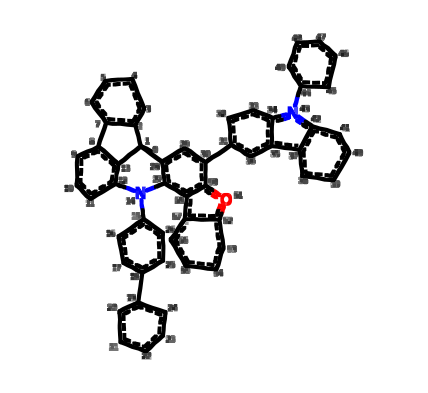 CC12c3ccccc3-c3cccc(c31)N(c1ccc(-c3ccccc3)cc1)c1c2cc(-c2ccc3c(c2)c2ccccc2n3-c2ccccc2)c2oc3ccccc3c12